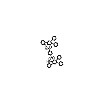 O=C(Oc1c(-c2ccccc2)c(-c2ccccc2)cc2c1[nH]c1ccccc12)c1ccc(C(=O)Oc2c(-c3ccccc3)c(-c3ccccc3)cc3c2[nH]c2ccccc23)cc1